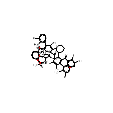 Cc1c(F)cccc1C1=C(C(=O)c2cccc(O)c2F)[C@H](C2CCCNC2)[C@@](CCNS(C)(=O)=O)(C(=O)[C@@]2(CCNS(C)(=O)=O)C(F)=C(O)C(c3cccc(F)c3C)=C(C(=O)c3cccc(O)c3F)[C@@H]2C2CCCNC2)C(F)=C1O